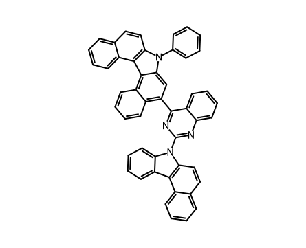 c1ccc(-n2c3ccc4ccccc4c3c3c4ccccc4c(-c4nc(-n5c6ccccc6c6c7ccccc7ccc65)nc5ccccc45)cc32)cc1